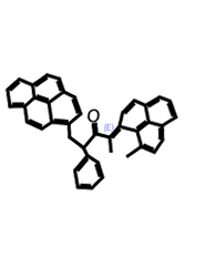 C/C(C(=O)C(Cc1ccc2ccc3cccc4ccc1c2c34)c1ccccc1)=c1/ccc2cccc3ccc(C)c1c32